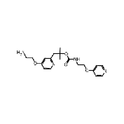 CC(C)(Cc1cc(OCCN)ccn1)OC(=O)NCCOc1ccncc1